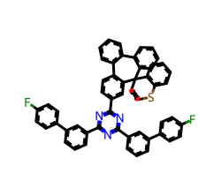 Fc1ccc(-c2cccc(-c3nc(-c4cccc(-c5ccc(F)cc5)c4)nc(-c4ccc5c(c4)C4(c6ccccc6Sc6ccccc64)c4ccccc4-c4ccccc4-5)n3)c2)cc1